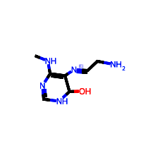 CNC1=C(/N=C/CN)C(O)NC=N1